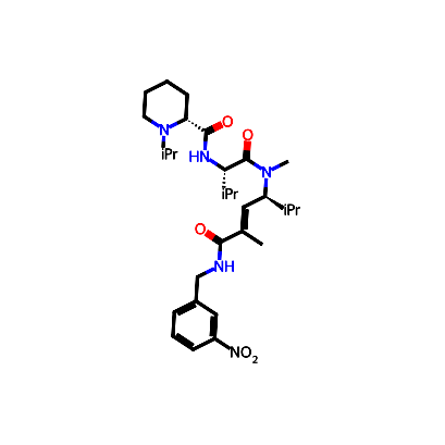 C/C(=C\[C@H](C(C)C)N(C)C(=O)[C@@H](NC(=O)[C@H]1CCCCN1C(C)C)C(C)C)C(=O)NCc1cccc([N+](=O)[O-])c1